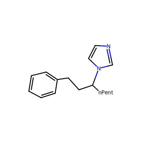 CCCCCC(CCc1ccccc1)n1ccnc1